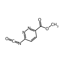 COC(=O)c1ccc(N=C=O)nn1